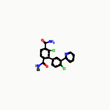 CCNC(=O)c1ccc(C(N)=O)c(Cl)c1-c1ccc(Cl)c(-c2ccccn2)c1